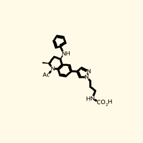 CC(=O)N1c2ccc(-c3cnn(CCCNC(=O)O)c3)cc2[C@H](Nc2ccccc2)C[C@@H]1C